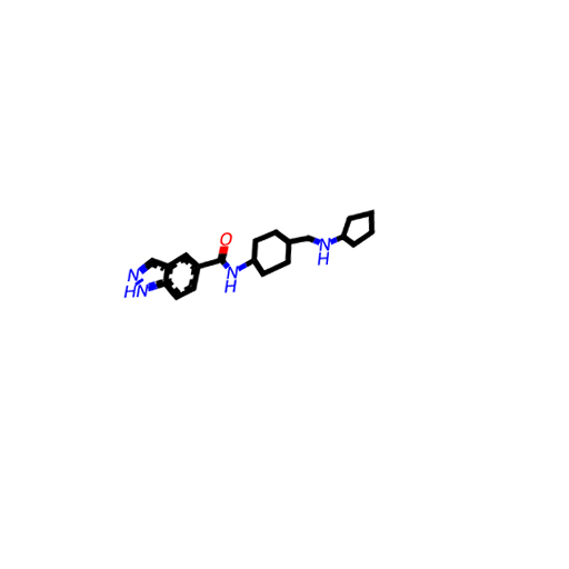 O=C(NC1CCC(CNC2CCCC2)CC1)c1ccc2[nH]ncc2c1